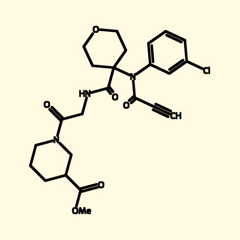 C#CC(=O)N(c1cccc(Cl)c1)C1(C(=O)NCC(=O)N2CCCC(C(=O)OC)C2)CCOCC1